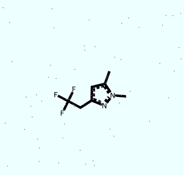 Cc1cc(CC(F)(F)F)nn1C